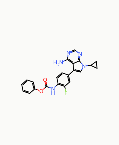 Nc1ncnc2c1c(-c1ccc(NC(=O)Oc3ccccc3)c(F)c1)cn2C1CC1